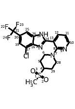 CS(=O)(=O)C1CCN(c2ncccc2-c2nc3c(Cl)cc(C(F)(F)F)cc3[nH]2)CC1